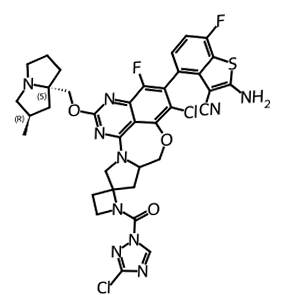 C[C@H]1CN2CCC[C@@]2(COc2nc3c4c(c(Cl)c(-c5ccc(F)c6sc(N)c(C#N)c56)c(F)c4n2)OCC2CC4(CCN4C(=O)n4cnc(Cl)n4)CN32)C1